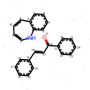 C1=CNc2ccccc2C=C1.O=C(C=Cc1ccccc1)c1ccccc1